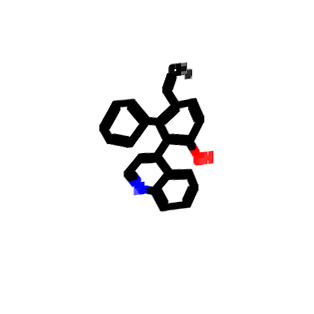 C=Cc1ccc(O)c(-c2ccnc3ccccc23)c1-c1ccccc1